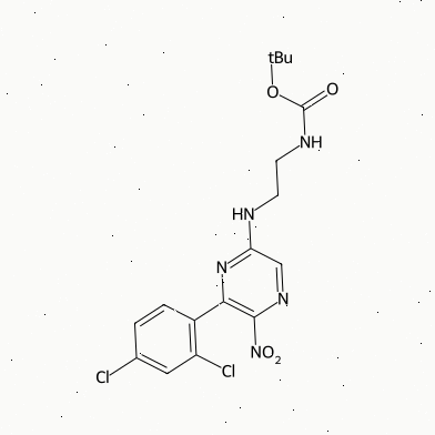 CC(C)(C)OC(=O)NCCNc1cnc([N+](=O)[O-])c(-c2ccc(Cl)cc2Cl)n1